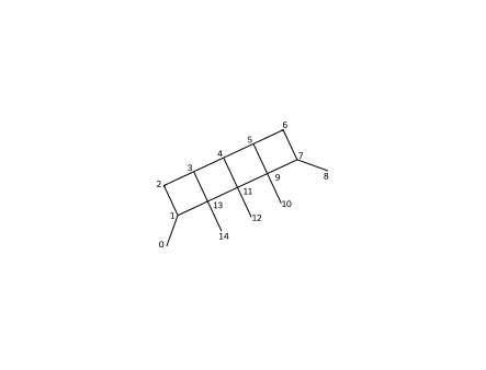 CC1CC2C3C4CC(C)C4(C)C3(C)C12C